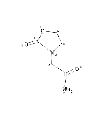 NC(=O)CN1CCOC1=O